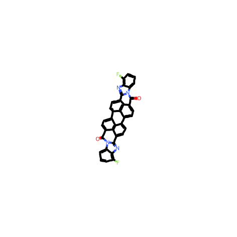 O=c1c2ccc3c4ccc5c6c(ccc(c7ccc(c2c37)c2nc3c(F)cccc3n12)c46)c(=O)n1c2cccc(F)c2nc51